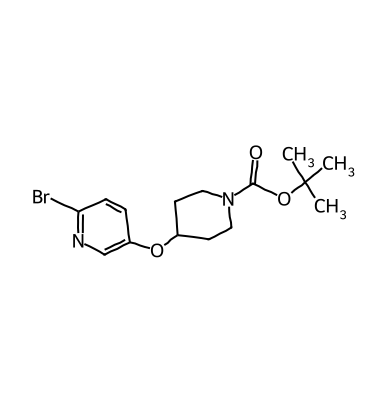 CC(C)(C)OC(=O)N1CCC(Oc2ccc(Br)nc2)CC1